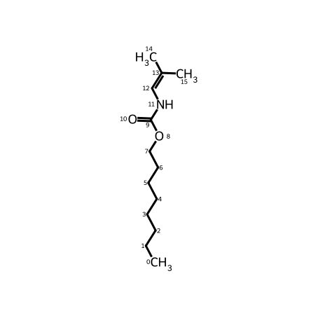 CCCCCCCCOC(=O)NC=C(C)C